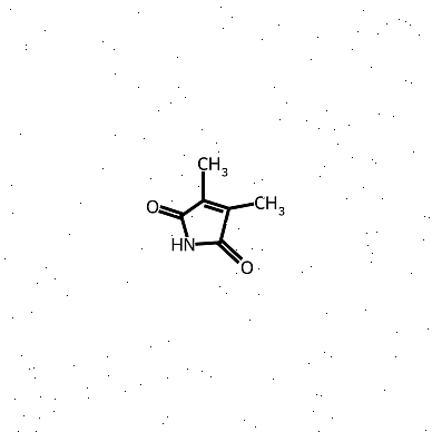 CC1=C(C)C(=O)NC1=O